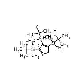 CC(C)(C)[Si](C)(C)C1=[C]CC([Si](C)(C)C(C)(C)C)=C1[Si](C)(C)C(C)(C)C